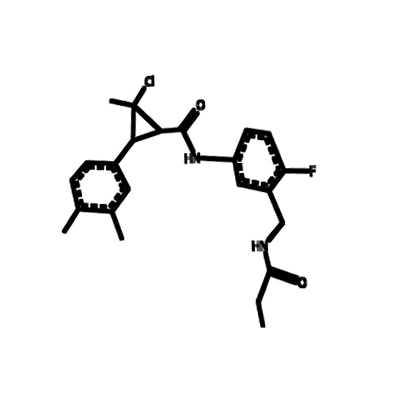 CCC(=O)NCc1cc(NC(=O)C2C(c3ccc(C)c(C)c3)C2(C)Cl)ccc1F